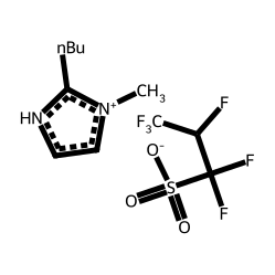 CCCCc1[nH]cc[n+]1C.O=S(=O)([O-])C(F)(F)C(F)C(F)(F)F